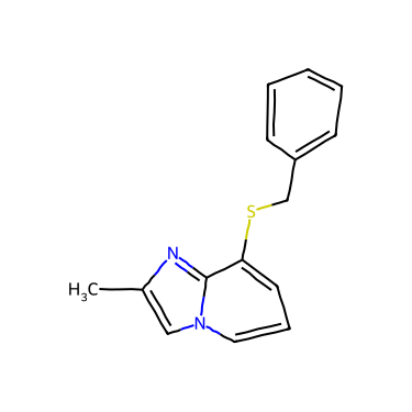 Cc1cn2cccc(SCc3ccccc3)c2n1